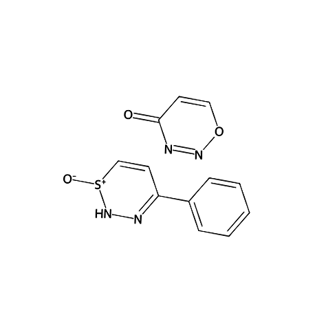 O=c1cconn1.[O-][S+]1C=CC(c2ccccc2)=NN1